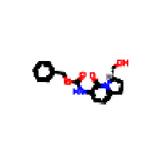 O=C(Nc1ccc2n(c1=O)[C@H](CO)CC2)OCc1ccccc1